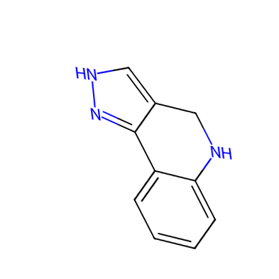 c1ccc2c(c1)NCc1c[nH]nc1-2